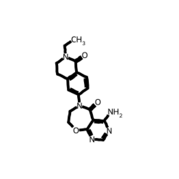 CCN1CCc2cc(N3CCOc4ncnc(N)c4C3=O)ccc2C1=O